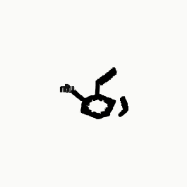 C=CC.C=Cc1ccccc1CCCC